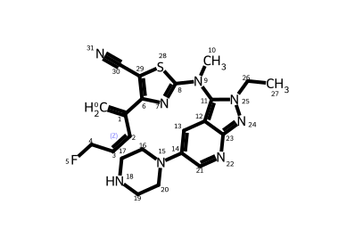 C=C(/C=C\CF)c1nc(N(C)c2c3cc(N4CCNCC4)cnc3nn2CC)sc1C#N